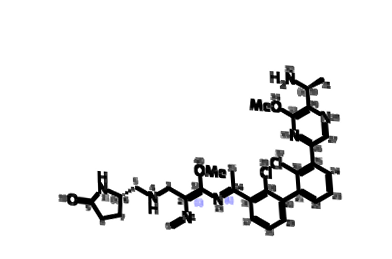 C=N/C(CNC[C@@H]1CCC(=O)N1)=C(\N=C(/C)c1cccc(-c2cccc(-c3cnc([C@H](C)N)c(OC)n3)c2Cl)c1Cl)OC